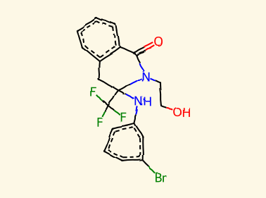 O=C1c2ccccc2CC(Nc2cccc(Br)c2)(C(F)(F)F)N1CCO